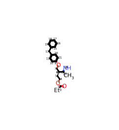 CCC(=O)OCC[C@@H](COc1ccc(Cc2ccccc2)cc1)C(C)=N